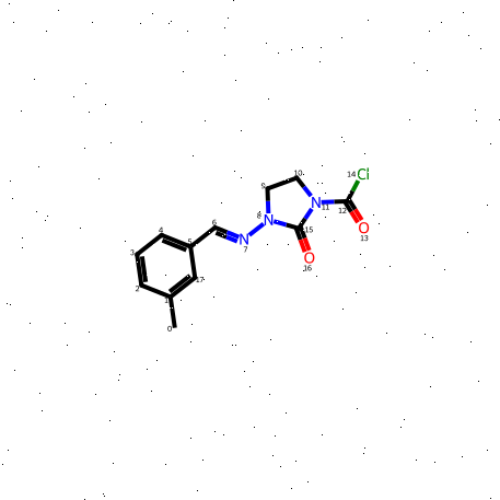 Cc1cccc(C=NN2CCN(C(=O)Cl)C2=O)c1